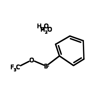 FC(F)(F)O[B]c1ccccc1.O.O